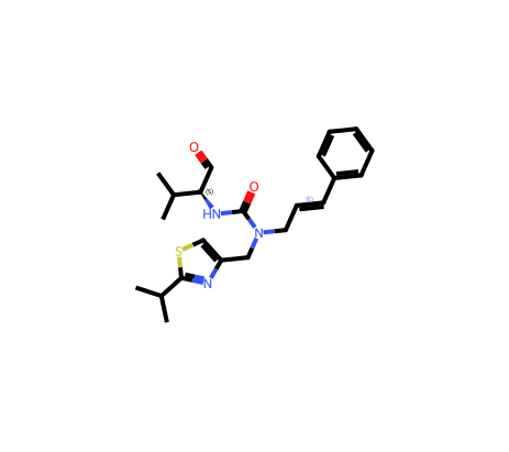 CC(C)c1nc(CN(C/C=C/c2ccccc2)C(=O)N[C@H](C=O)C(C)C)cs1